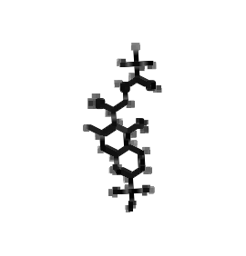 Cc1cc2nc(C(F)(F)F)ccc2c(Br)c1C(O)COC(=O)C(C)(C)C